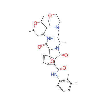 Cc1cccc(NC(=O)C2C3C=CC4(O3)C2C(=O)N(C(C)CCN2CCOCC2)C4C(=O)NC2CC(C)OC(C)C2)c1C